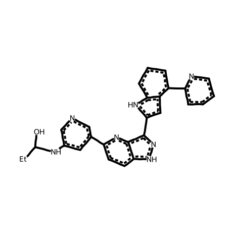 CCC(O)Nc1cncc(-c2ccc3[nH]nc(-c4cc5c(-c6ccccn6)cccc5[nH]4)c3n2)c1